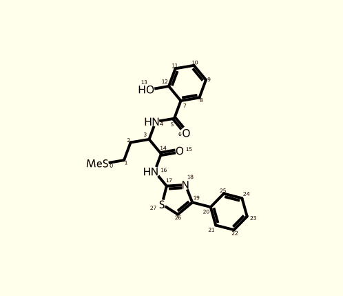 CSCCC(NC(=O)c1ccccc1O)C(=O)Nc1nc(-c2ccccc2)cs1